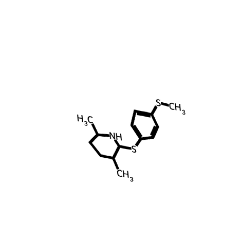 CSc1ccc(SC2NC(C)CCC2C)cc1